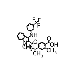 Cc1cc(C(C)NC(=O)c2c(Nc3cccc(C(F)(F)F)c3)c3ccccc3n2C)ccc1C(=O)O